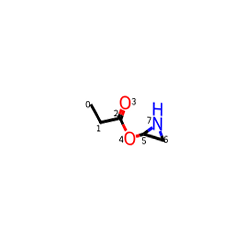 CCC(=O)OC1CN1